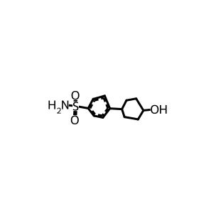 NS(=O)(=O)c1ccc(C2CCC(O)CC2)cc1